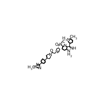 CCN(C(=O)[C@@H]1CCN(CC(=O)N2CC=C(c3ccc(-c4ncn(C)n4)cc3)CC2)C1)c1ccc(N)c(C(=N)c2ccc(C)nc2)n1